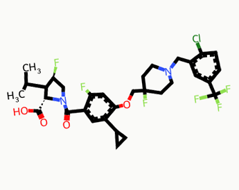 CC(C)C1[C@@H](C(=O)O)N(C(=O)c2cc(C3CC3)c(OCC3(F)CCN(Cc4cc(C(F)(F)F)ccc4Cl)CC3)cc2F)C[C@@H]1F